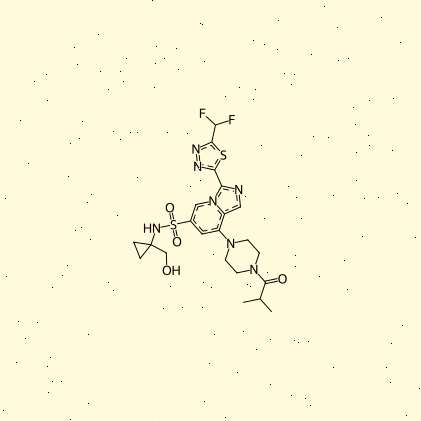 CC(C)C(=O)N1CCN(c2cc(S(=O)(=O)NC3(CO)CC3)cn3c(-c4nnc(C(F)F)s4)ncc23)CC1